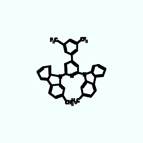 Cc1ccc2c3ccccc3n(-c3cc(-c4cc(C(F)(F)F)cc(C(F)(F)F)c4)cc(-n4c5ccccc5c5ccc(C)cc54)n3)c2c1